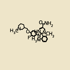 Cc1cccc(C)c1C1(Nc2ccc(OCC3CCCN(C)C3)c(F)c2)N=CC(C(N)=O)=CN1